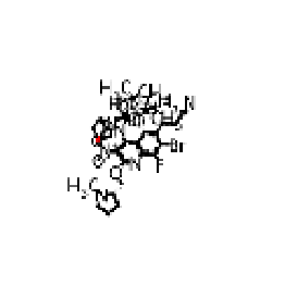 CN1CCC[C@H]1COc1nc2c(F)c(Br)c(CCC#N)cc2c(N(C(=O)OC(C)(C)C)C2C3CC2N(C(=O)OC(C)(C)C)C3)c1[N+](=O)[O-]